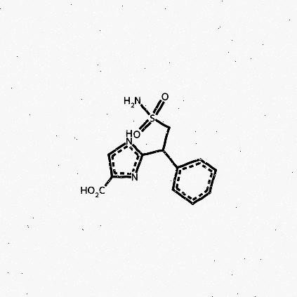 NS(=O)(=O)CC(c1ccccc1)c1nc(C(=O)O)c[nH]1